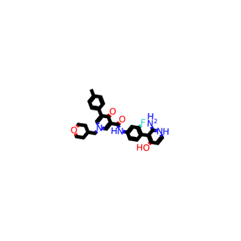 Cc1ccc(-c2cn(CC3CCOCC3)cc(C(=O)Nc3ccc(C4=C(O)C=CNC4N)c(F)c3)c2=O)cc1